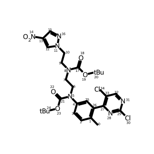 Cc1ccc(N(CCN(CCn2cc([N+](=O)[O-])cn2)C(=O)OC(C)(C)C)C(=O)OC(C)(C)C)cc1-c1nc(Cl)ncc1Cl